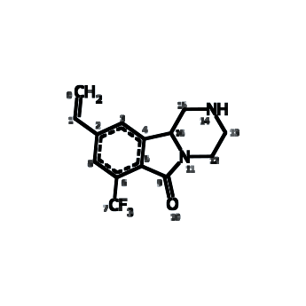 C=Cc1cc2c(c(C(F)(F)F)c1)C(=O)N1CCNCC21